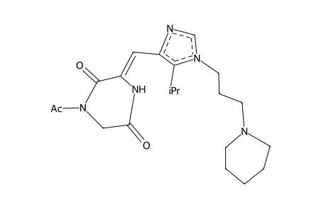 CC(=O)N1CC(=O)NC(=Cc2ncn(CCCN3CCCCC3)c2C(C)C)C1=O